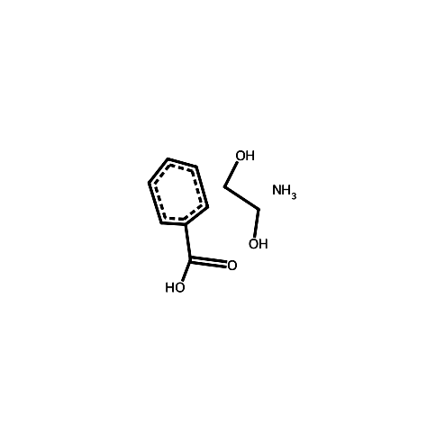 N.O=C(O)c1ccccc1.OCCO